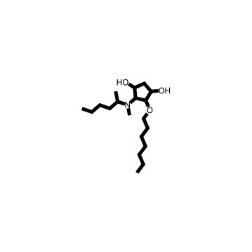 CCCCCCCOC1C(O)CC(O)C1N(C)C(C)CCCC